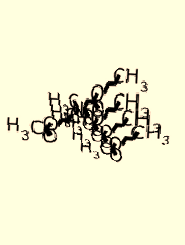 CCCCOC(=O)CC(=O)N(C)C.CCCCOC(C)=O.CCCCOC(C)=O.CCCCOC(C)=O.CCCCOC(C)=O